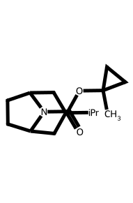 CC(C)C1CC2CCC(C1)N2C(=O)OC1(C)CC1